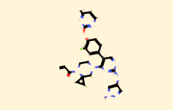 C=CC(=O)N1CCN(c2nc(Nc3cnn(C)c3)ncc2-c2ccc(Oc3nccc(C)n3)c(F)c2)CC12CC2